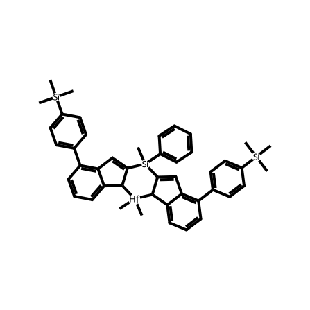 C[Si](C)(C)c1ccc(-c2cccc3c2C=C2[CH]3[Hf]([CH3])([CH3])[CH]3C(=Cc4c(-c5ccc([Si](C)(C)C)cc5)cccc43)[Si]2(C)c2ccccc2)cc1